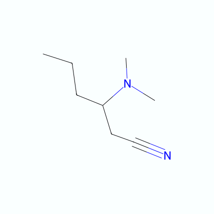 CCCC(CC#N)N(C)C